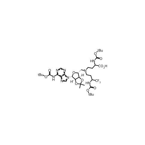 CC(C)(C)OC(=O)Nc1ncnc2c1ncn2[C@@H]1O[C@H](CN(CCC(NC(=O)OC(C)(C)C)C(=O)O)CCC(NC(=O)OC(C)(C)C)C(F)(F)F)[C@H]2OC(C)(C)O[C@H]21